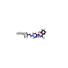 CCCCCCCC(CC)CCN1CCC(C(=O)NC(C)c2ccccc2)CC1